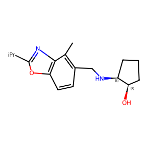 Cc1c(CN[C@H]2CCC[C@H]2O)ccc2oc(C(C)C)nc12